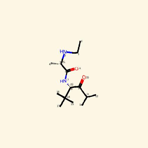 CCN[C@@H](C)C(=O)N[C@H](C(=O)C(C)C)C(C)(C)C